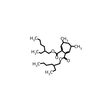 CCCCC(CC)COC(=O)C1=CC(C)CC(C)C=C1C(=O)OCC(CC)CCCC